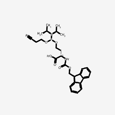 CC(C)N(C(C)C)P(OCCC#N)OCC[C@H](NC(=O)OCC1c2ccccc2-c2ccccc21)C(=O)O